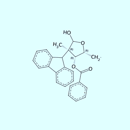 [CH2][C@H]1OC(O)[C@](C)(C2c3ccccc3-c3ccccc32)[C@H]1OC(=O)c1ccccc1